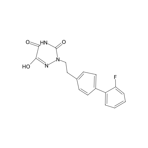 O=c1[nH]c(=O)n(CCc2ccc(-c3ccccc3F)cc2)nc1O